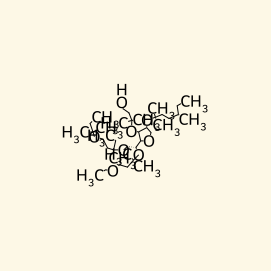 CCOCCC(C)(C)O[C@H](COC(C)(CC)CCOC(C)(C)CC)C1OCC(OC(C)(C)CCC(C)CC)C1OC(C)(C)CCO